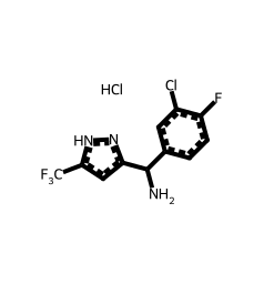 Cl.NC(c1ccc(F)c(Cl)c1)c1cc(C(F)(F)F)[nH]n1